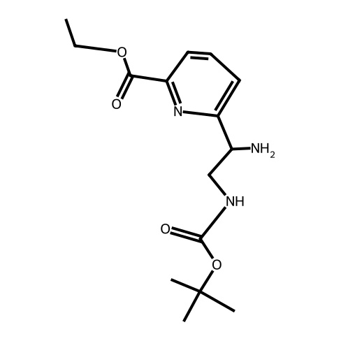 CCOC(=O)c1cccc(C(N)CNC(=O)OC(C)(C)C)n1